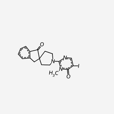 Cn1c(N2CCC3(CC2)Cc2ccccc2C3=O)ncc(I)c1=O